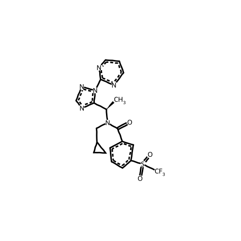 C[C@H](c1ncnn1-c1ncccn1)N(CC1CC1)C(=O)c1cccc(S(=O)(=O)C(F)(F)F)c1